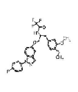 COc1cc(C[C@@H](COc2ccc3c(cnn3-c3ccc(F)cc3)c2)NC(=O)C(F)(F)F)ccc1SC